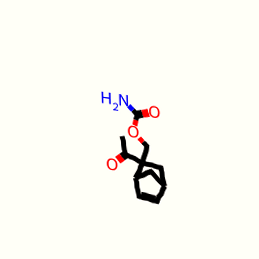 CC(=O)C1(COC(N)=O)CC2C=CC1C2